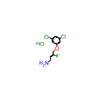 Cl.NC/C=C(\F)COc1cc(Cl)cc(Cl)c1